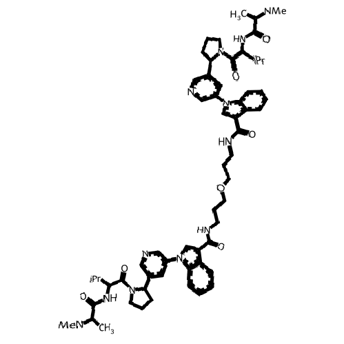 CNC(C)C(=O)NC(C(=O)N1CCCC1c1cncc(-n2cc(C(=O)NCCCOCCCNC(=O)c3cn(-c4cncc(C5CCCN5C(=O)C(NC(=O)C(C)NC)C(C)C)c4)c4ccccc34)c3ccccc32)c1)C(C)C